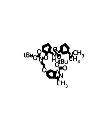 Cc1nn(C(=O)OC(C)(C)C)c2cc(OCCN(Oc3ccccc3NS(=O)(=O)c3cccc(N(C)C)c3)C(=O)OC(C)(C)C)ccc12